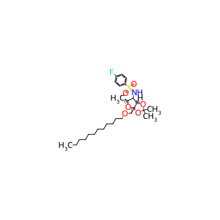 CCCCCCCCCCCCOC[C@@]12O[C@@H](C)C(NS(=O)(=O)c3ccc(F)cc3)[C@H]1OC(C)(C)O2